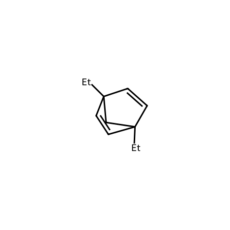 CCC12C=CC(CC)(C=C1)C2